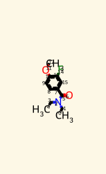 CCN(CC)C(=O)c1ccc(OC)c(F)c1